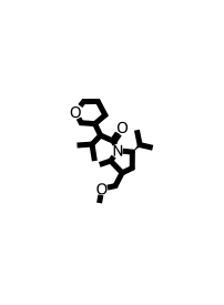 COCC1C[C@@H](C(C)C)N(C(=O)C(C(C)C)C2CCCOC2)C1C